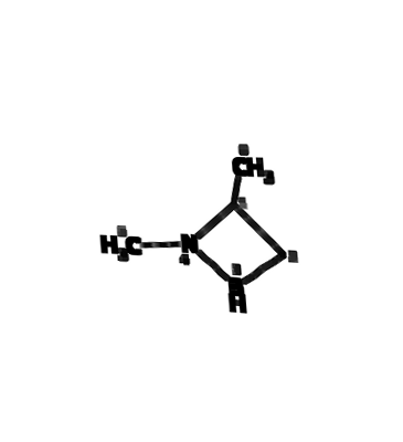 CC1CBN1C